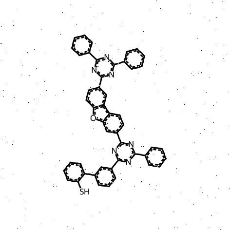 Sc1ccccc1-c1cccc(-c2nc(-c3ccccc3)nc(-c3ccc4c(c3)oc3ccc(-c5nc(-c6ccccc6)nc(-c6ccccc6)n5)cc34)n2)c1